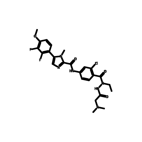 CCN(NC(=O)CN(C)C)C(=O)c1ccc(NC(=O)c2ncc(-c3ccc(OC)c(F)c3F)n2C)cc1Cl